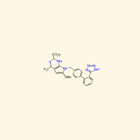 CCCCc1cc2c(n1Cc1ccc(-c3ccccc3-c3nnn[nH]3)cc1)NC(C(=O)O)N=C2C